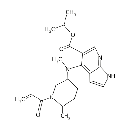 C=CC(=O)N1CC(N(C)c2c(C(=O)OC(C)C)cnc3[nH]ccc23)CCC1C